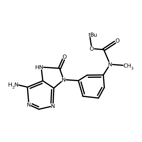 CN(C(=O)OC(C)(C)C)c1cccc(-n2c(=O)[nH]c3c(N)ncnc32)c1